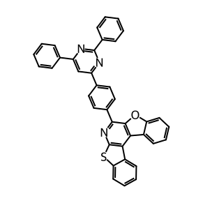 c1ccc(-c2cc(-c3ccc(-c4nc5sc6ccccc6c5c5c4oc4ccccc45)cc3)nc(-c3ccccc3)n2)cc1